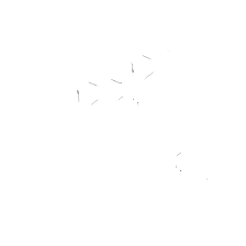 COc1cc(/C=C(\C(=O)NCCCCCC(=O)N(C)OC)c2ccc(O)cc2)cc(OC)c1OC